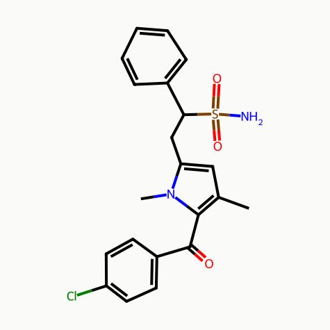 Cc1cc(CC(c2ccccc2)S(N)(=O)=O)n(C)c1C(=O)c1ccc(Cl)cc1